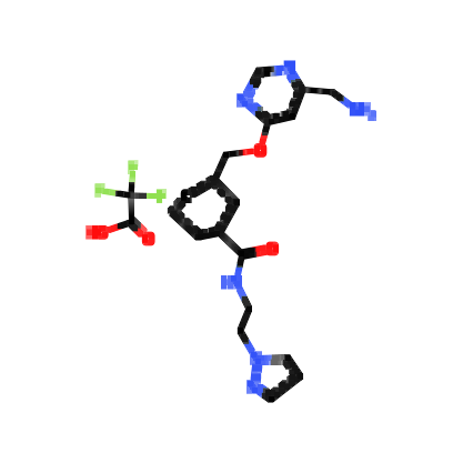 NCc1cc(OCc2cccc(C(=O)NCCn3cccn3)c2)ncn1.O=C(O)C(F)(F)F